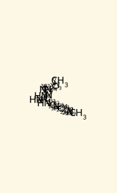 Cc1cccc(-c2cnc(N/C(C=N)=C/NC3CCN(C4CCC5(CC4)CCN(C)CC5)CC3)c3nccn23)c1